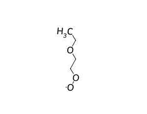 CCOCCO[O]